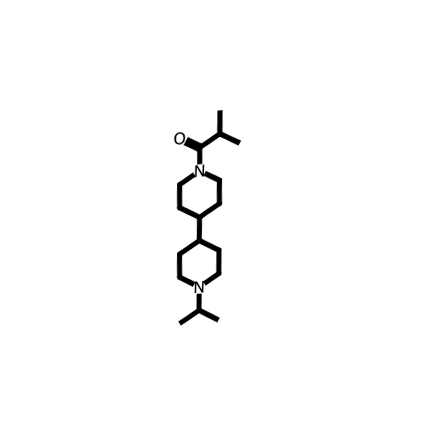 CC(C)C(=O)N1CCC(C2CCN(C(C)C)CC2)CC1